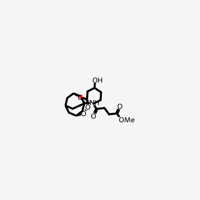 COC(=O)CCC(=O)NC12CC3CC(C1)C[C@]1(CCCC(O)C1)OOC(C3)C2